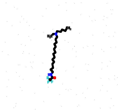 CCCCCN(CC)CCCCCCCCCCCCCCCNC(=O)C(F)(F)F